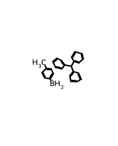 Bc1ccc(C)cc1.c1ccc(C(c2ccccc2)c2ccccc2)cc1